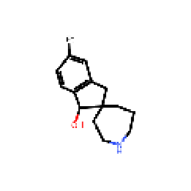 CCc1ccc2c(c1)CC1(CCCNCC1)C2O